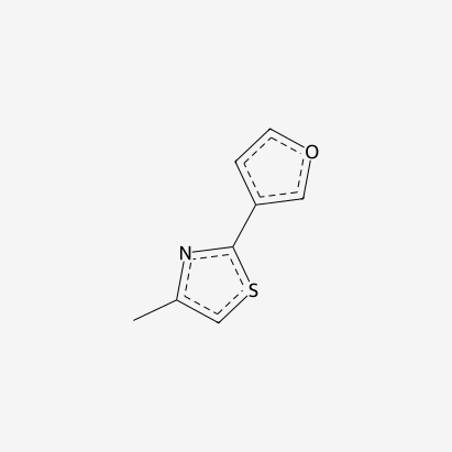 Cc1csc(-c2ccoc2)n1